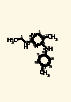 CCNc1ncc(C)c(Nc2ccc(C)cc2)n1